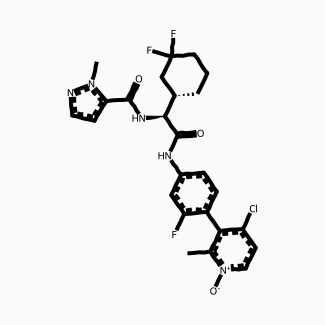 Cc1c(-c2ccc(NC(=O)[C@@H](NC(=O)c3ccnn3C)[C@H]3CCCC(F)(F)C3)cc2F)c(Cl)cc[n+]1[O-]